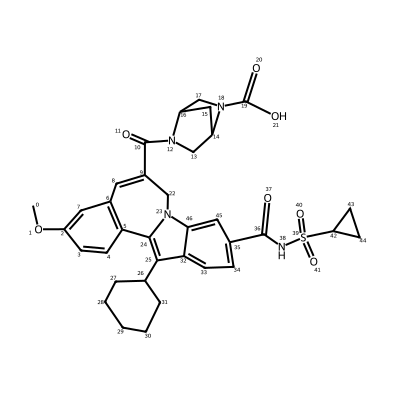 COc1ccc2c(c1)C=C(C(=O)N1CC3CC1CN3C(=O)O)Cn1c-2c(C2CCCCC2)c2ccc(C(=O)NS(=O)(=O)C3CC3)cc21